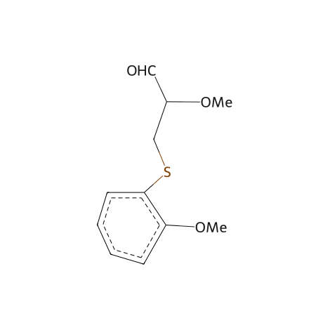 COc1ccccc1SCC(C=O)OC